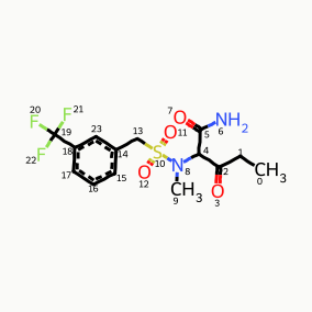 CCC(=O)C(C(N)=O)N(C)S(=O)(=O)Cc1cccc(C(F)(F)F)c1